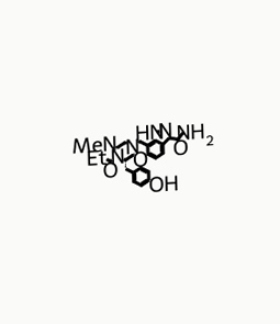 CCC(=O)N1[C@@H](NC)CN(Cc2cccc3c(C(N)=O)n[nH]c23)C(=O)[C@@H]1Cc1ccc(O)cc1